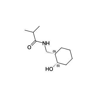 CC(C)C(=O)NC[C@@H]1CCCC[C@@H]1O